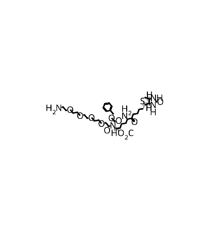 NCCOCCOCCOCCOCC(=O)N(C(=O)OCc1ccccc1)[C@@H](CCCC(N)C(=O)CCCC[C@@H]1SC[C@@H]2NC(=O)N[C@@H]21)C(=O)O